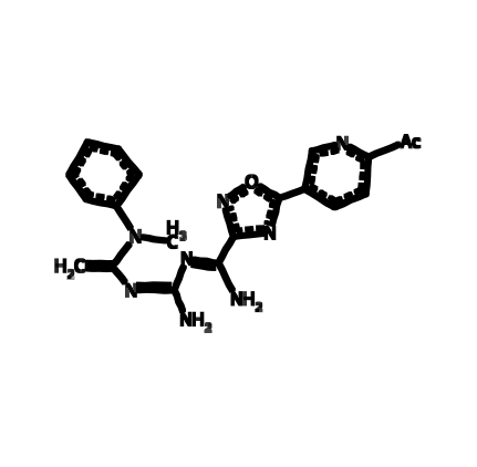 C=C(/N=C(N)\N=C(/N)c1noc(-c2ccc(C(C)=O)nc2)n1)N(C)c1ccccc1